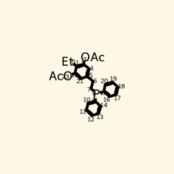 CCc1c(OC(C)=O)cc(CCP(c2ccccc2)c2ccccc2)cc1OC(C)=O